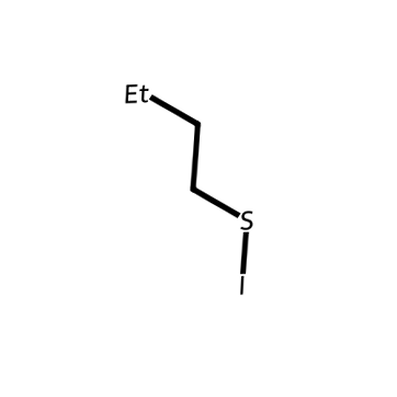 CCCCSI